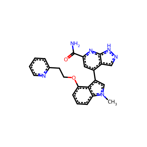 Cn1cc(-c2cc(C(N)=O)nc3[nH]ncc23)c2c(OCCc3ccccn3)cccc21